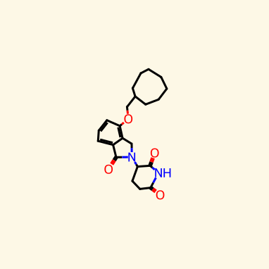 O=C1CCC(N2Cc3c(OCC4CCCCCCC4)cccc3C2=O)C(=O)N1